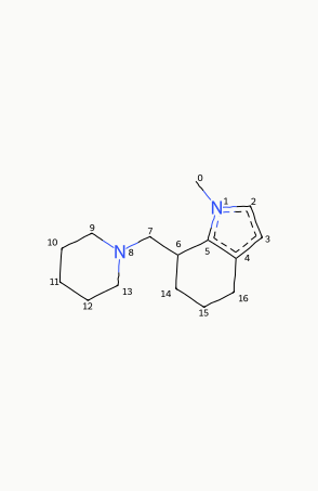 Cn1ccc2c1C(CN1CCCCC1)CCC2